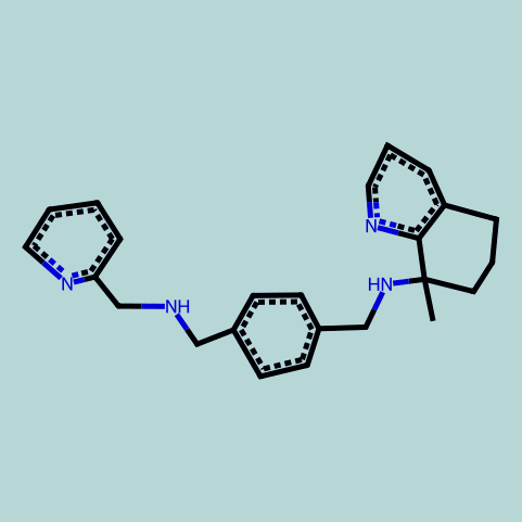 CC1(NCc2ccc(CNCc3ccccn3)cc2)CCCc2cccnc21